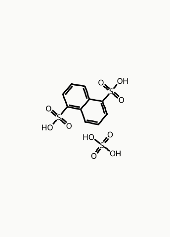 O=S(=O)(O)O.O=S(=O)(O)c1cccc2c(S(=O)(=O)O)cccc12